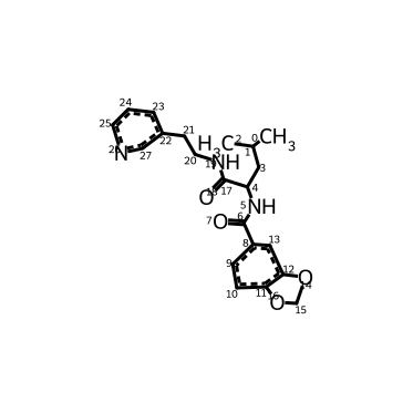 CC(C)CC(NC(=O)c1ccc2c(c1)OCO2)C(=O)NCCc1cccnc1